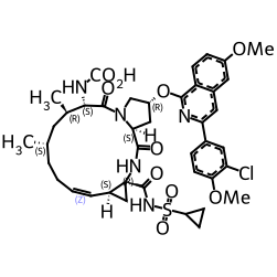 COc1ccc2c(O[C@@H]3C[C@H]4C(=O)N[C@]5(C(=O)NS(=O)(=O)C6CC6)C[C@H]5/C=C\CC[C@H](C)C[C@@H](C)[C@H](NC(=O)O)C(=O)N4C3)nc(-c3ccc(OC)c(Cl)c3)cc2c1